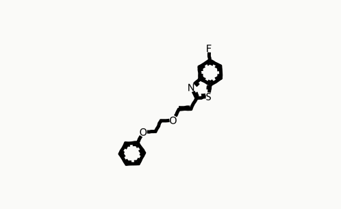 Fc1ccc2sc(C=COCCOc3ccccc3)nc2c1